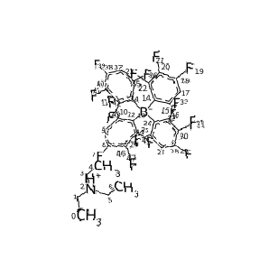 CC[NH+](CC)CC.Fc1cc(F)c([B-](c2c(F)cc(F)c(F)c2F)(c2c(F)cc(F)c(F)c2F)c2c(F)cc(F)c(F)c2F)c(F)c1F